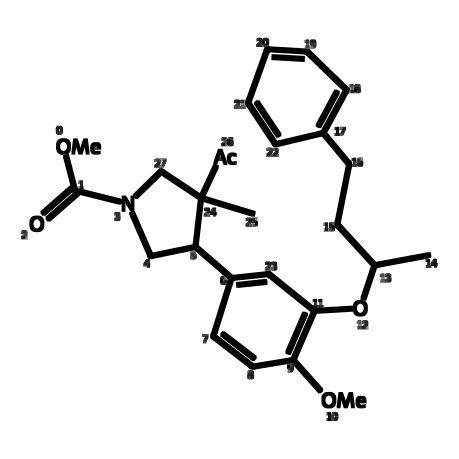 COC(=O)N1CC(c2ccc(OC)c(OC(C)CCc3ccccc3)c2)C(C)(C(C)=O)C1